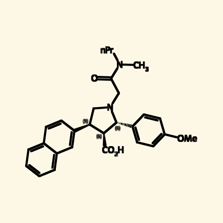 CCCN(C)C(=O)CN1C[C@H](c2ccc3ccccc3c2)[C@H](C(=O)O)[C@H]1c1ccc(OC)cc1